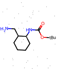 CC(C)(C)OC(=O)NC1CCCCC1CN